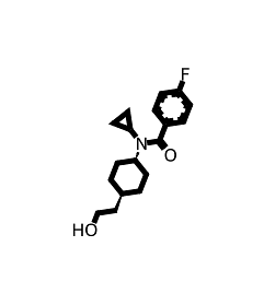 O=C(c1ccc(F)cc1)N(C1CC1)[C@H]1CC[C@H](CCO)CC1